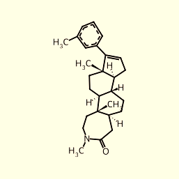 Cc1cccc(C2=CC[C@H]3[C@@H]4CC[C@H]5CC(=O)N(C)CC[C@]5(C)[C@H]4CC[C@]23C)c1